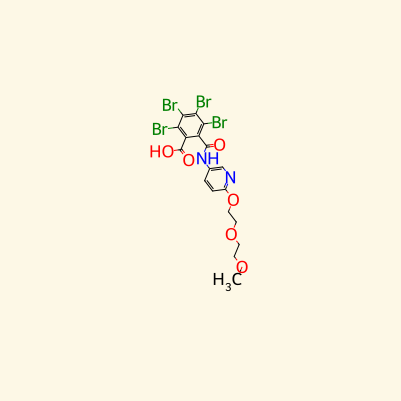 COCCOCCOc1ccc(NC(=O)c2c(Br)c(Br)c(Br)c(Br)c2C(=O)O)cn1